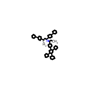 C=C/C(=N\C(=C/C(=C)c1ccc(-c2ccccc2)cc1)c1ccc(-c2ccccc2)cc1)c1ccc(-c2cc(-c3ccccc3)c(-c3ccccc3)cc2-c2ccccc2)cc1